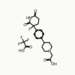 O=C(O)C(F)(F)F.O=C(O)CN1CCC(c2ccc(C3(F)CCC(=O)NC3=O)cc2)CC1